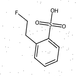 O=S(=O)(O)c1ccccc1CCF